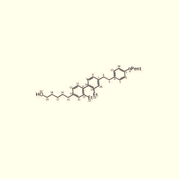 CCCCCc1ccc(CCc2ccc(-c3ccc(CCCCCO)cc3CC)c(CC)c2)cc1